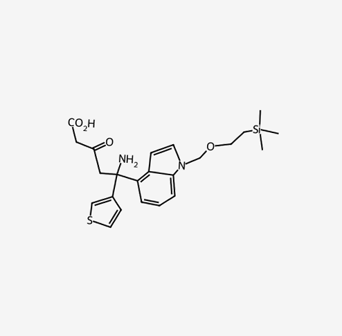 C[Si](C)(C)CCOCn1ccc2c(C(N)(CC(=O)CC(=O)O)c3ccsc3)cccc21